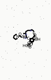 C/C1=C\C(=N/OCC(=O)N2CCCCC2)Cc2cc(OP(=O)(O)O)cc(O)c2C(=O)OCC/C=C/CC1